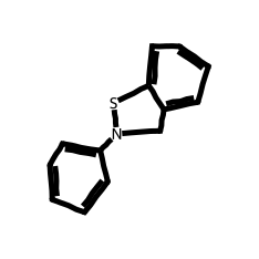 c1ccc(N2Cc3ccccc3S2)cc1